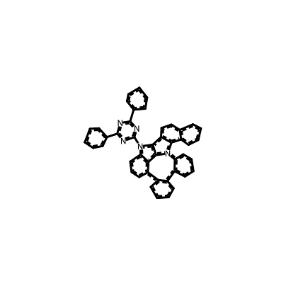 c1ccc(-c2nc(-c3ccccc3)nc(-n3c4cccc5c6ccccc6c6ccccc6n6c7c8ccccc8ccc7c3c6c54)n2)cc1